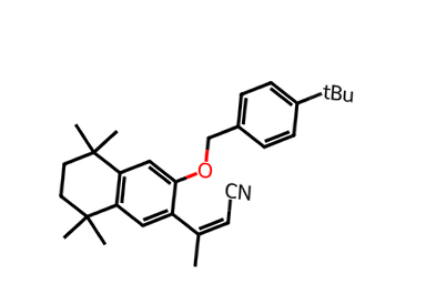 C/C(=C/C#N)c1cc2c(cc1OCc1ccc(C(C)(C)C)cc1)C(C)(C)CCC2(C)C